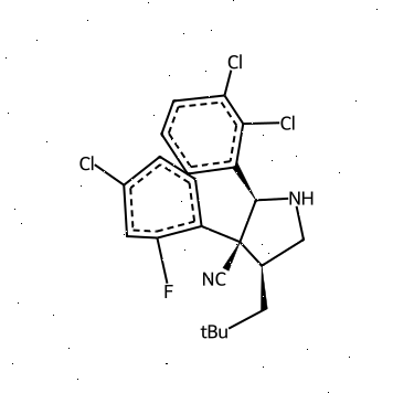 CC(C)(C)C[C@@H]1CN[C@H](c2cccc(Cl)c2Cl)[C@@]1(C#N)c1ccc(Cl)cc1F